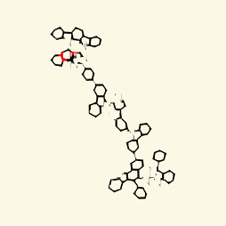 c1ccc(-c2nc(-c3ccc(-c4ccc5c(c4)c4ccccc4n5-c4nccc5c4sc4ccc(-n6c7ccccc7c7cc(-c8ccc9c(c8)c8sc%10ccccc%10c8c8c%10ccccc%10n(-c%10nc(-c%11ccccc%11)c%11ccccc%11n%10)c98)ccc76)cc45)cc3)nc(-n3c4ccccc4c4ccc5c6ccccc6n(-c6ccccc6)c5c43)n2)cc1